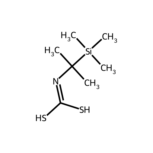 CC(C)(N=C(S)S)[Si](C)(C)C